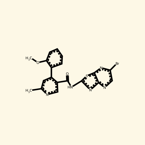 COc1ccccc1-c1cc(C)ncc1C(=O)Nc1nc2ncc(Br)nc2s1